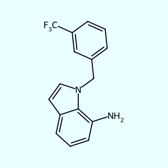 Nc1cccc2ccn(Cc3cccc(C(F)(F)F)c3)c12